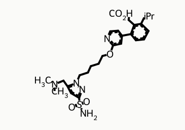 CC(C)c1cccc(-c2ccnc(OCCCCCn3nc(S(N)(=O)=O)cc3CN(C)C)c2)c1CC(=O)O